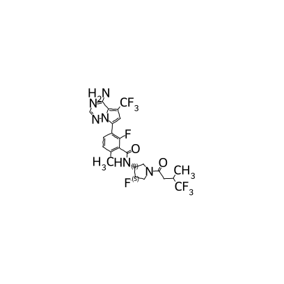 Cc1ccc(-c2cc(C(F)(F)F)c3c(N)ncnn23)c(F)c1C(=O)N[C@@H]1CN(C(=O)CC(C)C(F)(F)F)C[C@@H]1F